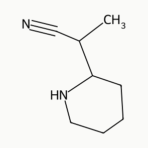 CC(C#N)C1CCCCN1